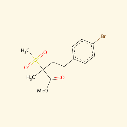 COC(=O)C(C)(CCc1ccc(Br)cc1)S(C)(=O)=O